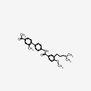 COc1ccc(C(=O)Nc2ccc(-c3ccc(C(C)=O)cc3C)cc2)cc1CCCN(C)C